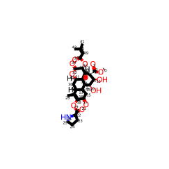 COC(=O)[C@@]12OC[C@]34C([C@@H](O)[C@@H]1O)[C@@]1(C)CC(=O)C(OC(=O)C5CCCN5)=C(C)[C@@H]1C[C@H]3OC(=O)[C@H](OC(=O)C=C(C)C)[C@@H]24